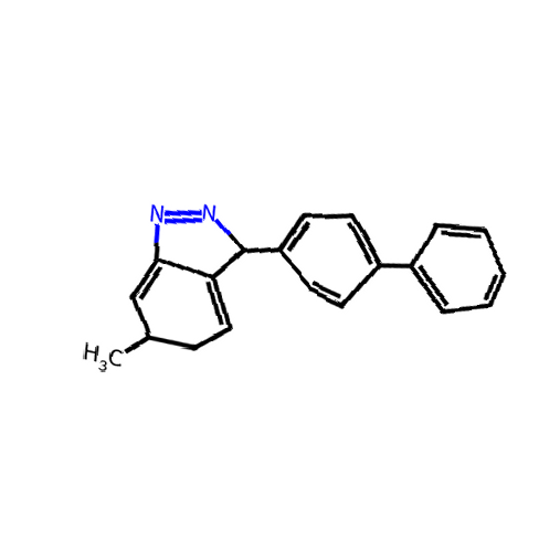 CC1C=C2N=NC(c3ccc(-c4ccccc4)cc3)C2=CC1